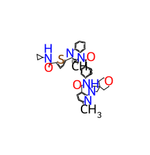 Cc1ccc(C(=O)Nc2ccc(C(=O)N3c4ccccc4N=C(c4ccc(C(=O)NC5CC5)s4)[C@H]3C)cc2)c(N2CC3(CCOCC3)C2)n1